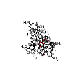 CCC(C)C(NC(=O)C(N)CCCCN)C(=O)NC(C)C(=O)NCC(=O)NC(CCCCN)C(=O)NC(C(=O)NC(C)C(=O)NC(CCCCN)C(=O)NC(C(=O)NC(C)C(=O)NC(CC(C)C)C(=O)NC(CCCCN)C(=O)NC(C)C(=O)NC(CC(C)C)C(N)=O)C(C)C)C(C)CC